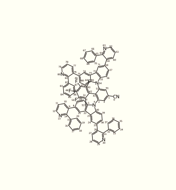 N#Cc1cc(-n2c3ccc(-c4cccnc4-c4ccccc4)cc3c3cc(-c4cccnc4-c4ccccc4)ccc32)c(-c2c(F)c(F)c(F)c(F)c2F)c(-n2c3ccc(-c4cccnc4-c4ccccc4)cc3c3cc(-c4cccnc4-c4ccccc4)ccc32)c1